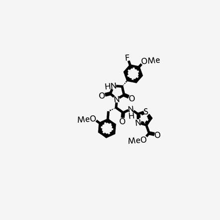 COC(=O)c1csc(NC(=O)[C@H](Cc2ccccc2OC)N2C(=O)N[C@H](c3ccc(OC)c(F)c3)C2=O)n1